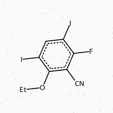 CCOc1c(I)cc(I)c(F)c1C#N